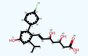 CC(C)c1cc(O)cc(-c2ccc(F)cc2)c1C=CC(O)CC(O)CC(=O)O